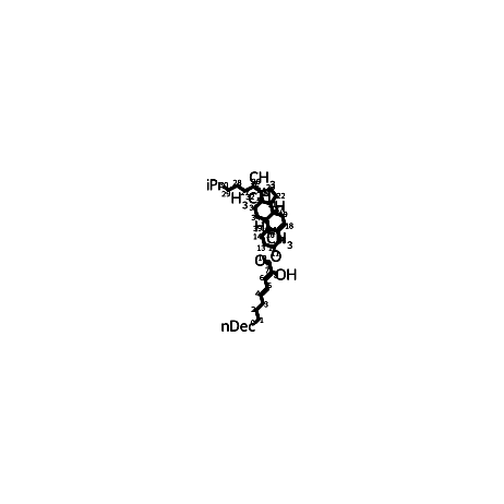 CCCCCCCCCCCCC/C=C/C=C(\O)C(=O)O[C@H]1CC[C@@]2(C)C(=CC[C@H]3[C@@H]4CC[C@H]([C@H](C)CCCC(C)C)[C@@]4(C)CC[C@@H]32)C1